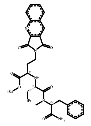 CC(C)C[C@H](N[C@H](CCN1C(=O)c2cc3ccccc3nc2C1=O)C(=O)OC(C)(C)C)C(=O)N(C)[C@@H](Cc1ccccc1)C(N)=O